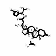 CC(=O)O[C@@H]1C[C@@H]2CC(=O)CC[C@]2(C)[C@H]2CC[C@]3(C)[C@@H]([C@H](C)CC(=O)N[C@@H](c4ccc(Cl)s4)C(C)C)CC[C@H]3[C@H]12